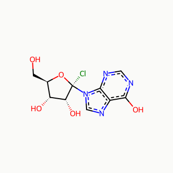 OC[C@H]1O[C@@](Cl)(n2cnc3c(O)ncnc32)[C@H](O)[C@@H]1O